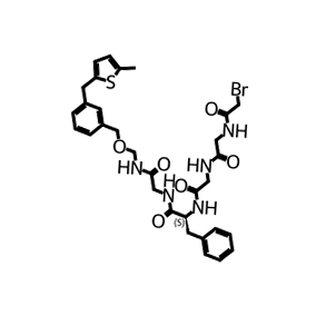 Cc1ccc(Cc2cccc(COCNC(=O)CNC(=O)[C@H](Cc3ccccc3)NC(=O)CNC(=O)CNC(=O)CBr)c2)s1